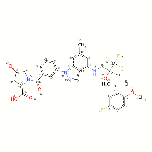 COc1ccc(F)cc1C(C)(C)CC(O)(CNc1cc(C)cc2c1cnn2-c1cccc(C(=O)N2C[C@H](O)C[C@@H]2C(=O)O)c1)C(F)(F)F